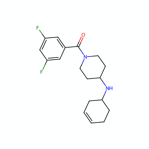 O=C(c1cc(F)cc(F)c1)N1CCC(NC2CC=CCC2)CC1